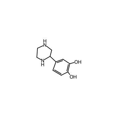 Oc1ccc(C2CNCCN2)cc1O